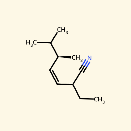 CCC(C#N)/C=C\[C@H](C)C(C)C